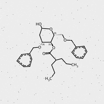 CCCC(CCC)C(=O)O[C@H]1[C@H](OCc2ccccc2)CC(O)O[C@@H]1COCc1ccccc1